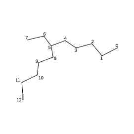 CCCCCC(CC)CCCCI